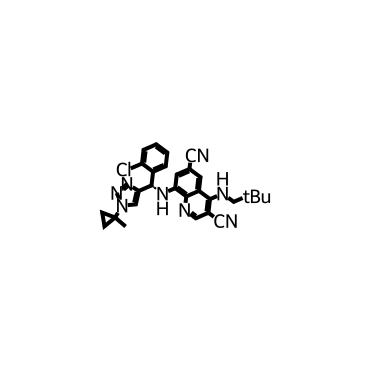 CC(C)(C)CNc1c(C#N)cnc2c(N[C@H](c3cn(C4(C)CC4)nn3)c3ccccc3Cl)cc(C#N)cc12